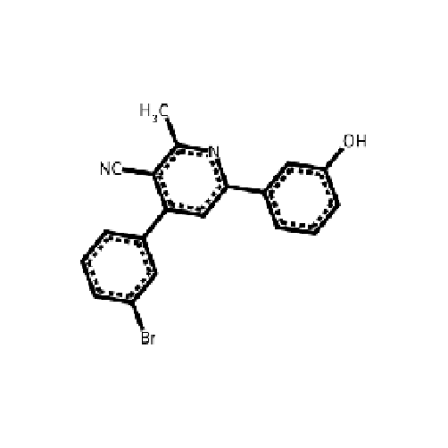 Cc1nc(-c2cccc(O)c2)cc(-c2cccc(Br)c2)c1C#N